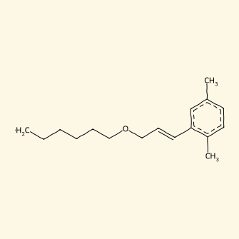 [CH2]CCCCCOCC=Cc1cc(C)ccc1C